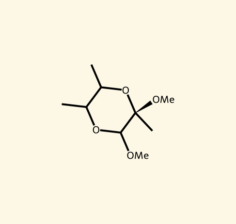 COC1OC(C)C(C)O[C@@]1(C)OC